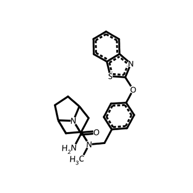 CN(Cc1ccc(Oc2nc3ccccc3s2)cc1)C1CC2CCC(C1)N2C(N)=O